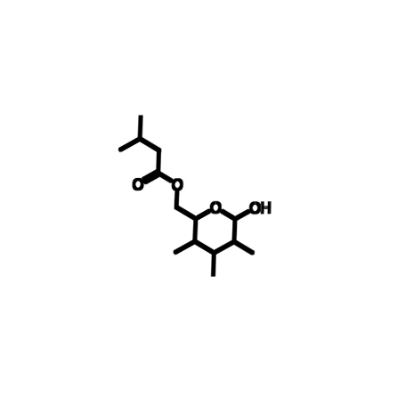 CC(C)CC(=O)OCC1OC(O)C(C)C(C)C1C